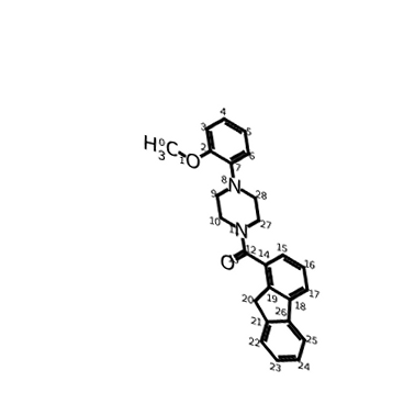 COc1ccccc1N1CCN(C(=O)c2cccc3c2Cc2ccccc2-3)CC1